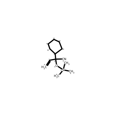 C=CC(C#N)(O[Si](C)(C)C)C1CCCCC1